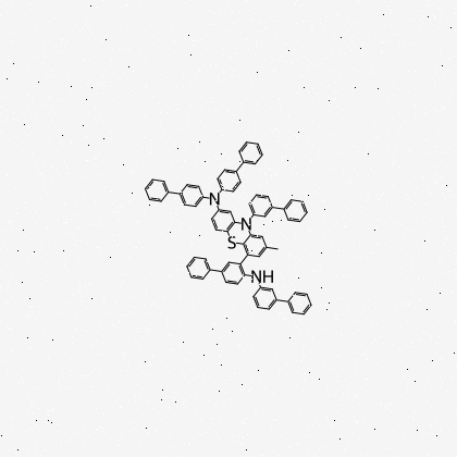 Cc1cc(-c2cc(-c3ccccc3)ccc2Nc2cccc(-c3ccccc3)c2)c2c(c1)N(c1cccc(-c3ccccc3)c1)c1cc(N(c3ccc(-c4ccccc4)cc3)c3ccc(-c4ccccc4)cc3)ccc1S2